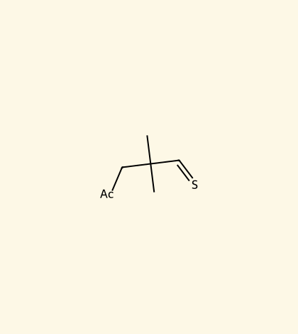 CC(=O)CC(C)(C)C=S